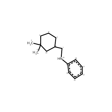 CC1(C)CCCC(CNc2ccccc2)C1